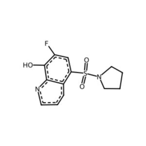 O=S(=O)(c1cc(F)c(O)c2ncccc12)N1CCCC1